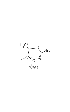 CCC1=CC(OC)=C(F)C(C)C1